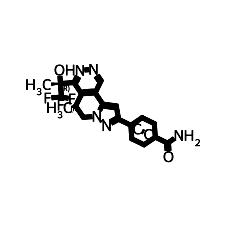 C[C@H]1Cn2nc(C34CCC(C(N)=O)(CC3)CC4)cc2-c2cnnc([C@@](C)(O)C(F)(F)F)c21